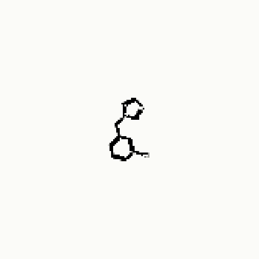 Clc1cccc(Cn2ccnc2)c1